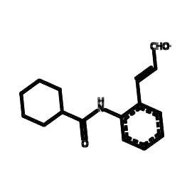 O=[C]/C=C/c1ccccc1NC(=O)C1CCCCC1